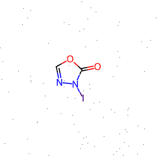 O=c1ocnn1I